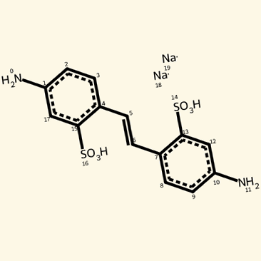 Nc1ccc(C=Cc2ccc(N)cc2S(=O)(=O)O)c(S(=O)(=O)O)c1.[Na].[Na]